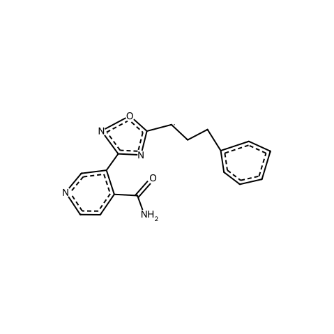 NC(=O)c1ccncc1-c1noc([CH]CCc2ccccc2)n1